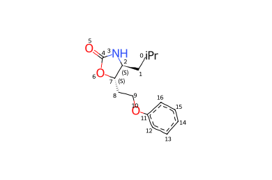 CC(C)C[C@@H]1NC(=O)O[C@H]1CCOc1ccccc1